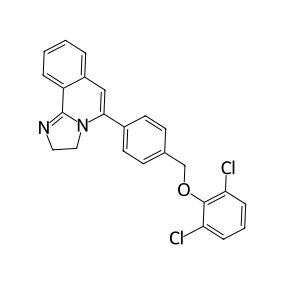 Clc1cccc(Cl)c1OCc1ccc(C2=Cc3ccccc3C3=NCCN23)cc1